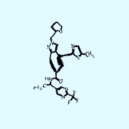 Cc1cnc(-c2cc(C(=O)NC(C)c3cnc(C(F)(F)F)nc3)cc3nn(CC4CCCO4)cc23)s1